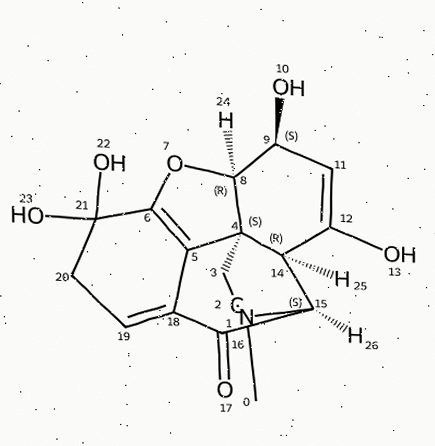 CN1CC[C@]23C4=C5O[C@H]2[C@@H](O)C=C(O)[C@H]3[C@H]1C(=O)C4=CCC5(O)O